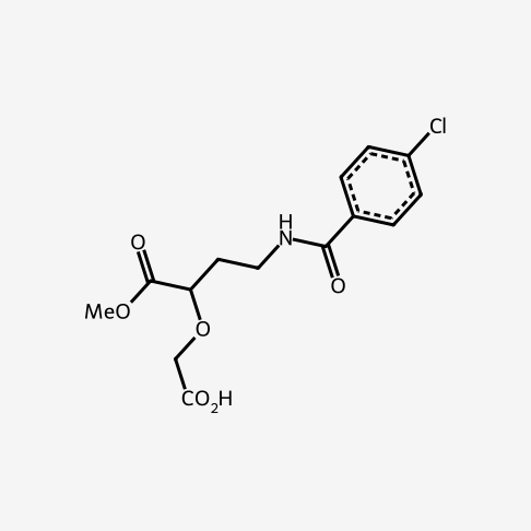 COC(=O)C(CCNC(=O)c1ccc(Cl)cc1)OCC(=O)O